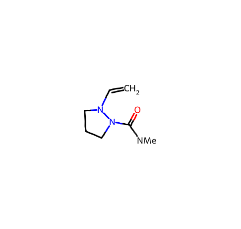 C=CN1CCCN1C(=O)NC